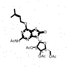 CC(=O)Nc1nc(OCC=C(C)C)c2sc(=O)n([C@@H]3O[C@H](COC(C)=O)[C@@H](OC(C)=O)[C@H]3OC(C)=O)c2n1